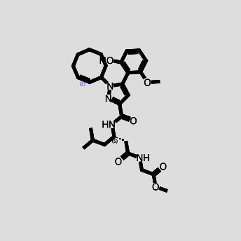 COC(=O)CNC(=O)C[C@H](CC(C)C)NC(=O)c1cc(-c2c(O)cccc2OC)n(C2/C=C\CCCCC2)n1